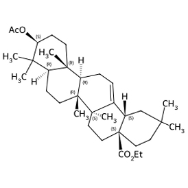 CCOC(=O)[C@]12CCC(C)(C)C[C@H]1C1=CC[C@@H]3[C@@]4(C)CC[C@H](OC(C)=O)C(C)(C)[C@@H]4CC[C@@]3(C)[C@]1(C)CC2